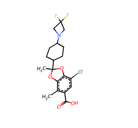 Cc1c(C(=O)O)cc(Cl)c2c1OC(C)(C1CCC(N3CC(F)(F)C3)CC1)O2